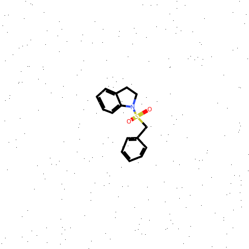 O=S(=O)(Cc1ccccc1)N1CCc2cc[c]cc21